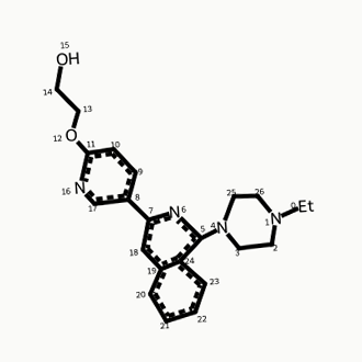 CCN1CCN(c2nc(-c3ccc(OCCO)nc3)cc3ccccc23)CC1